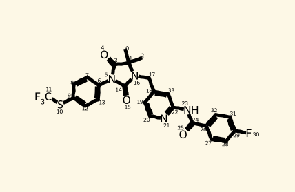 CC1(C)C(=O)N(c2ccc(SC(F)(F)F)cc2)C(=O)N1Cc1ccnc(NC(=O)c2ccc(F)cc2)c1